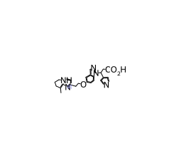 C=C/C(CCOc1ccc2c(cnn2C(CC(=O)O)c2ccncc2)c1)=N\C1=C(C)CCCN1